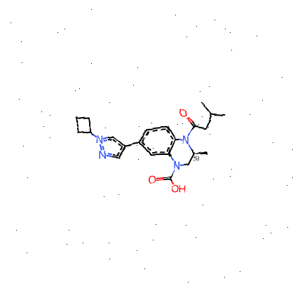 CC(C)CC(=O)N1c2ccc(-c3cnn(C4CCC4)c3)cc2N(C(=O)O)C[C@@H]1C